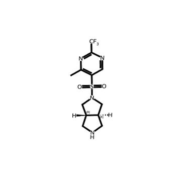 Cc1nc(C(F)(F)F)ncc1S(=O)(=O)N1C[C@H]2CNC[C@@H]2C1